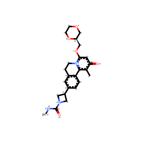 Cc1c2n(c(OC[C@@H]3COCCO3)cc1=O)CCc1cc(C3CN(C(=O)NC(C)C)C3)ccc1-2